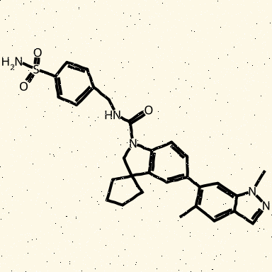 Cc1cc2cnn(C)c2cc1-c1ccc2c(c1)C1(CCCC1)CN2C(=O)NCc1ccc(S(N)(=O)=O)cc1